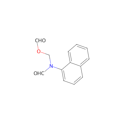 O=COCN(C=O)c1cccc2ccccc12